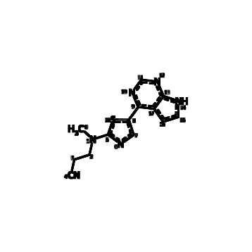 CN(CCC#N)c1ncc(-c2ncnc3[nH]ccc23)s1